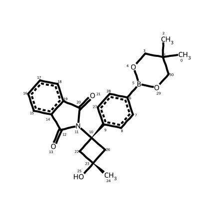 CC1(C)COB(c2ccc([C@]3(N4C(=O)c5ccccc5C4=O)C[C@@](C)(O)C3)cc2)OC1